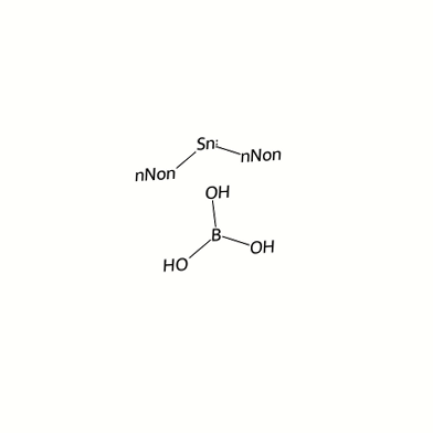 CCCCCCCC[CH2][Sn][CH2]CCCCCCCC.OB(O)O